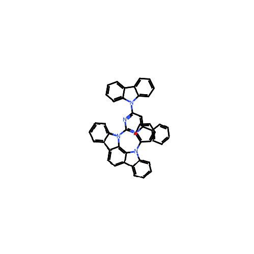 c1ccc(-c2cc(-n3c4ccccc4c4ccccc43)nc(-n3c4ccccc4c4ccc5c6ccccc6n(-c6ccccc6)c5c43)n2)cc1